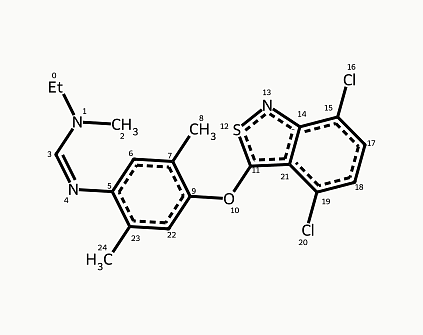 CCN(C)/C=N\c1cc(C)c(Oc2snc3c(Cl)ccc(Cl)c23)cc1C